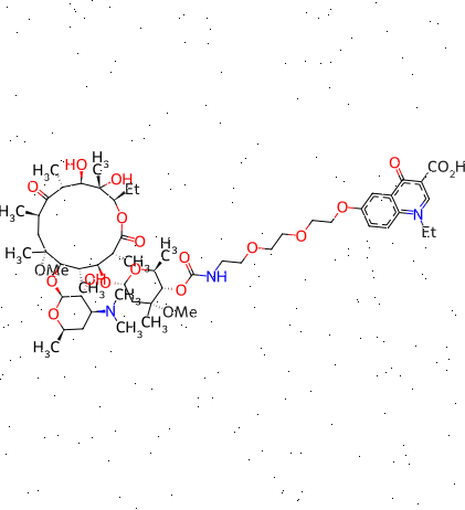 CC[C@H]1OC(=O)[C@H](C)[C@@H](O[C@H]2C[C@@](C)(OC)[C@@H](OC(=O)NCCOCCOCCOc3ccc4c(c3)c(=O)c(C(=O)O)cn4CC)[C@H](C)O2)[C@H](C)[C@@H](O[C@@H]2O[C@H](C)C[C@H](N(C)C)[C@H]2O)[C@](C)(OC)C[C@@H](C)C(=O)[C@H](C)[C@@H](O)[C@]1(C)O